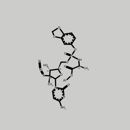 CC(C)OC(=O)[C@H](C)NP(=O)(OC[C@H]1OC(n2ccc(N)nc2=O)[C@](C)(N=[N+]=[N-])[C@@H]1O)Oc1ccc2c(c1)OCO2